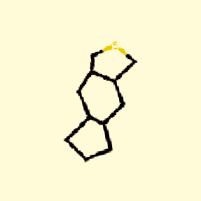 C1CC2CC3CSCC3CC2C1